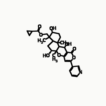 CC1(COC(=O)C2CC2)C2C[C@H](O)[C@@]3(C)Oc4cc(-c5cccnc5)oc(=O)c4[C@H](O)C3[C@@]2(C)CC[C@@H]1O